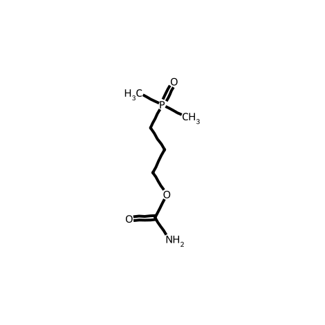 CP(C)(=O)CCCOC(N)=O